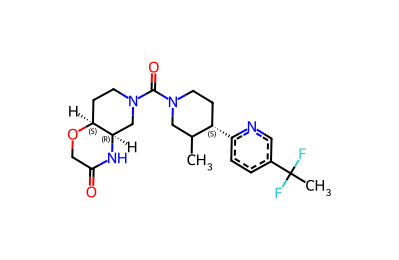 CC1CN(C(=O)N2CC[C@@H]3OCC(=O)N[C@@H]3C2)CC[C@@H]1c1ccc(C(C)(F)F)cn1